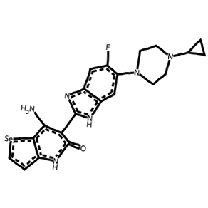 Nc1c(-c2nc3cc(F)c(N4CCN(C5CC5)CC4)cc3[nH]2)c(=O)[nH]c2cc[se]c12